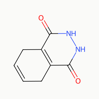 O=c1[nH][nH]c(=O)c2c1CC=CC2